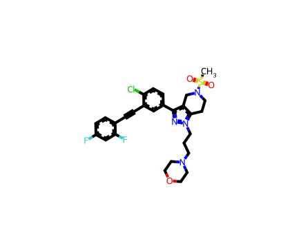 CS(=O)(=O)N1CCc2c(c(-c3ccc(Cl)c(C#Cc4ccc(F)cc4F)c3)nn2CCCN2CCOCC2)C1